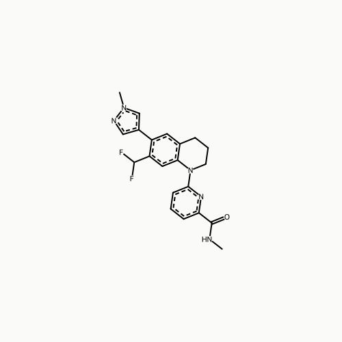 CNC(=O)c1cccc(N2CCCc3cc(-c4cnn(C)c4)c(C(F)F)cc32)n1